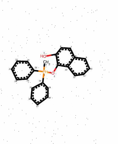 C[PH](Oc1c(O)ccc2ccccc12)(c1ccccc1)c1ccccc1